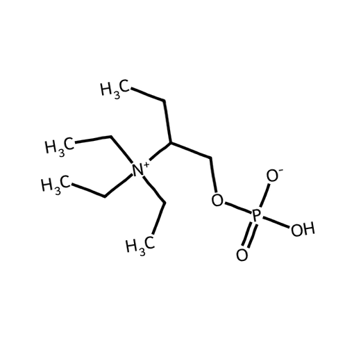 CCC(COP(=O)([O-])O)[N+](CC)(CC)CC